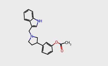 CC(=O)Oc1cccc(C2CCN(Cc3c[nH]c4ccccc34)C2)c1